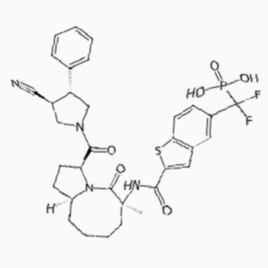 C[C@]1(NC(=O)c2cc3cc(C(F)(F)P(=O)(O)O)ccc3s2)CCCC[C@H]2CC[C@@H](C(=O)N3C[C@@H](C#N)[C@H](c4ccccc4)C3)N2C1=O